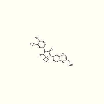 N#Cc1ccc(N2C(=O)C3(CCC3)N(c3ccc4c(c3)OC=C(CO)O4)C2=S)cc1C(F)(F)F